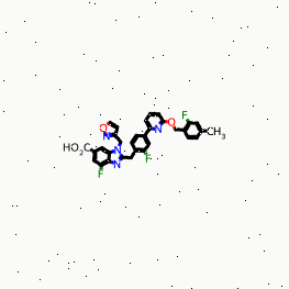 Cc1ccc(COc2cccc(-c3ccc(Cc4nc5c(F)cc(C(=O)O)cc5n4Cc4ccon4)c(F)c3)n2)c(F)c1